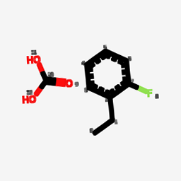 CCc1ccccc1F.O=C(O)O